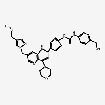 COCc1cn(Cc2cnc3c(c2)NC(c2ccc(NC(=O)Nc4ccc(CO)cc4)cc2)N=C3N2CCOCC2)nn1